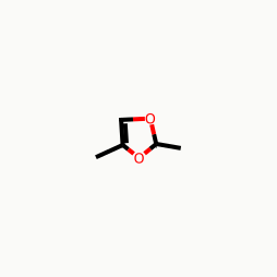 C[C]1OC=C(C)O1